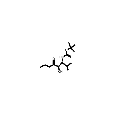 CCCC(=O)C(O)[C@@H](NC(=O)OC(C)(C)C)C(C)C